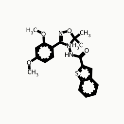 COc1ccc(C2=NOC(C)(C)N2NC(=O)c2cc3ccccc3s2)c(OC)c1